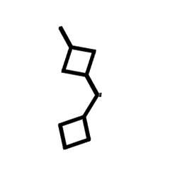 CC1CC([C]C2CCC2)C1